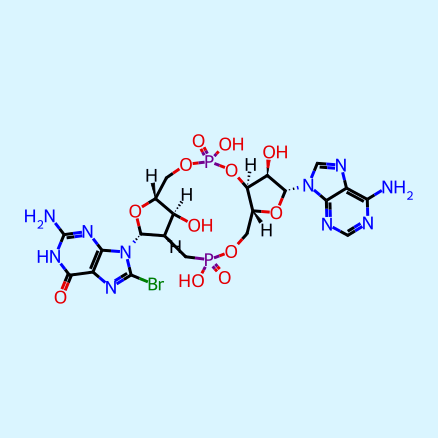 Nc1nc2c(nc(Br)n2[C@@H]2O[C@@H]3COP(=O)(O)O[C@H]4[C@@H](O)[C@H](n5cnc6c(N)ncnc65)O[C@@H]4COP(=O)(O)C[C@@H]2[C@@H]3O)c(=O)[nH]1